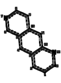 [c]1ccc2cc3cnccc3cc2n1